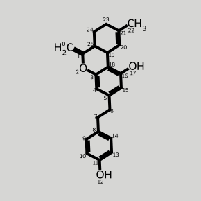 C=C1Oc2cc(CCc3ccc(O)cc3)cc(O)c2C2C=C(C)CCC12